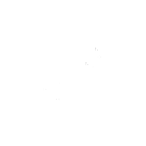 COC(=O)C(C)(C)C#Cc1cccc([N+](=O)[O-])c1N